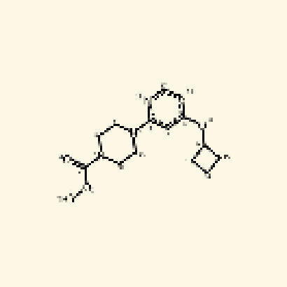 CC(C)(C)OC(=O)N1CCN(c2cc(OC3CCC3)ncn2)CC1